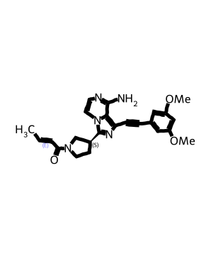 C/C=C/C(=O)N1CC[C@H](c2nc(C#Cc3cc(OC)cc(OC)c3)c3c(N)nccn23)C1